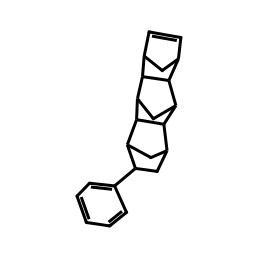 C1=CC2CC1C1C3CC(C21)C1C2CC(CC2c2ccccc2)C31